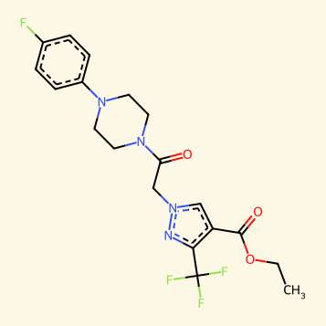 CCOC(=O)c1cn(CC(=O)N2CCN(c3ccc(F)cc3)CC2)nc1C(F)(F)F